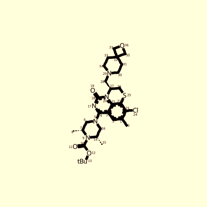 Cc1cc2c(N3C[C@@H](C)N(C(=O)OC(C)(C)C)[C@@H](C)C3)nc(=O)n3c2c(c1Cl)SC[C@@H]3CN1CCC2(CC1)COC2